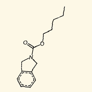 CCCCCOC(=O)N1Cc2ccccc2C1